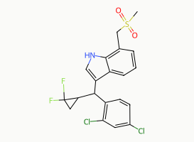 CS(=O)(=O)Cc1cccc2c(C(c3ccc(Cl)cc3Cl)C3CC3(F)F)c[nH]c12